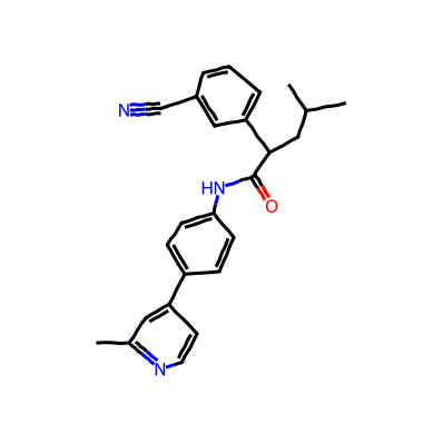 Cc1cc(-c2ccc(NC(=O)C(CC(C)C)c3cccc(C#N)c3)cc2)ccn1